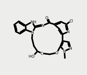 Cn1ncc2c1OCCC(O)CCN1/C(=N/C(=O)c3cc(Cl)nc-2c3)Nc2ccccc21